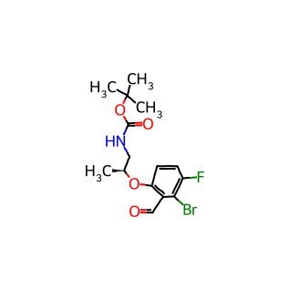 C[C@@H](CNC(=O)OC(C)(C)C)Oc1ccc(F)c(Br)c1C=O